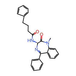 CN1C(=O)[C@H](NC(=O)CCCc2ccccc2)N=C(c2ccccc2)c2ccccc21